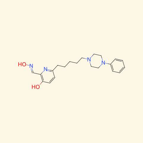 ON=Cc1nc(CCCCCN2CCN(c3ccccc3)CC2)ccc1O